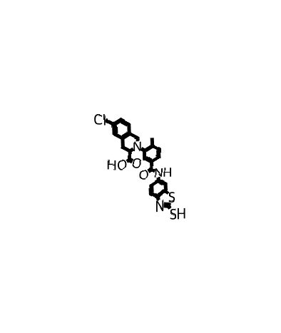 Cc1ccc(C(=O)Nc2ccc3nc(S)sc3c2)cc1N1Cc2ccc(Cl)cc2CC1C(=O)O